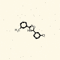 Cc1cccc(C2=NOC(c3cccc(Cl)c3)N2)c1